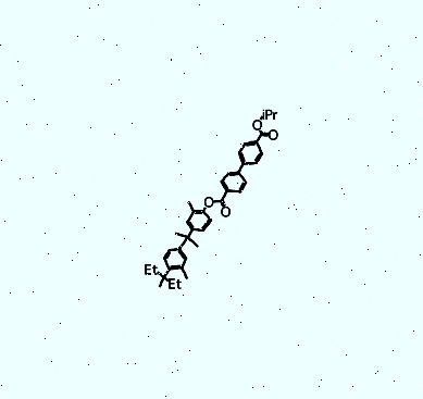 CCC(C)(CC)c1ccc(C(C)(C)c2ccc(OC(=O)c3ccc(-c4ccc(C(=O)OC(C)C)cc4)cc3)c(C)c2)cc1C